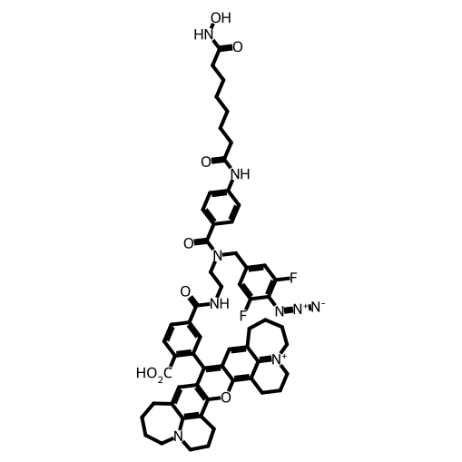 [N-]=[N+]=Nc1c(F)cc(CN(CCNC(=O)c2ccc(C(=O)O)c(C3=c4cc5c6c(c4Oc4c3cc3c7c4CCCN7CCCC3)CCC[N+]=6CCCC5)c2)C(=O)c2ccc(NC(=O)CCCCCCC(=O)NO)cc2)cc1F